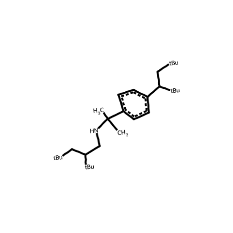 CC(C)(C)CC(CNC(C)(C)c1ccc(C(CC(C)(C)C)C(C)(C)C)cc1)C(C)(C)C